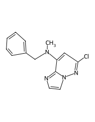 CN(Cc1ccccc1)c1cc(Cl)nn2ccnc12